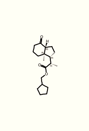 C[C@H](C(=O)OCC1CCCC1)[C@H]1CC[C@H]2C(=O)CCC[C@]12C